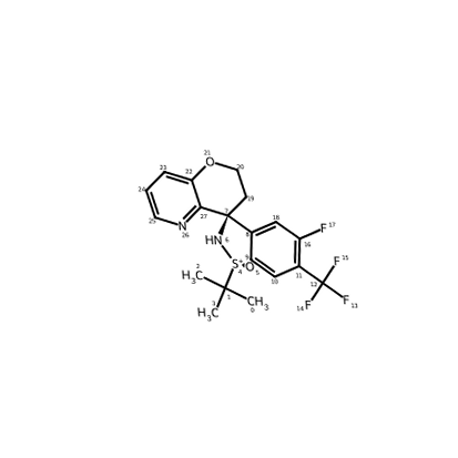 CC(C)(C)[S@@+]([O-])N[C@]1(c2ccc(C(F)(F)F)c(F)c2)CCOc2cccnc21